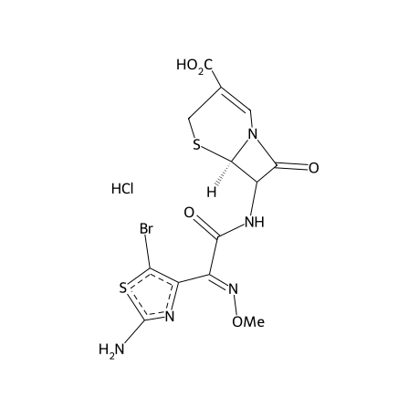 CON=C(C(=O)NC1C(=O)N2C=C(C(=O)O)CS[C@H]12)c1nc(N)sc1Br.Cl